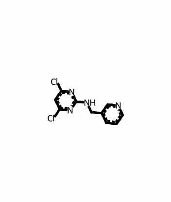 Clc1cc(Cl)nc(NCc2cccnc2)n1